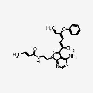 C=C/C(=C\C=C(/C)c1nn(CCNC(=O)/C=C/C)c2ncnc(N)c12)Oc1ccccc1